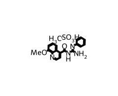 COc1cccc2c(C(=O)NC(N)=Nc3ccccc3)ccnc12.CS(=O)(=O)O